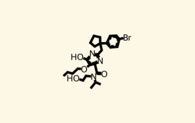 CCCCOc1c(O)nc(CC2(c3ccc(Br)cc3)CCCC2)nc1C(=O)N(CCO)C(C)C